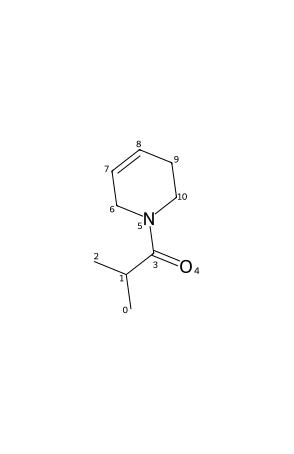 CC(C)C(=O)N1CC=CCC1